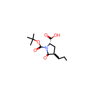 CC/C=C1\C[C@@H](C(=O)O)N(C(=O)OC(C)(C)C)C1=O